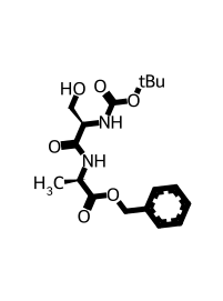 C[C@@H](NC(=O)[C@@H](CO)NC(=O)OC(C)(C)C)C(=O)OCc1ccccc1